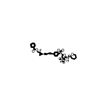 CC(CCn1c(=O)oc2cc(C#CC#C[C@H]3C[C@]3(F)COC(=O)c3ccccc3)ccc21)(C(=O)NO[C@@H]1CCCCO1)S(C)(=O)=O